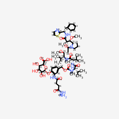 CO[C@H]([C@@H](C)C(=O)N[C@@H](Cc1ccccc1)c1nccs1)[C@@H]1CCCN1C(=O)C[C@@H](OC)[C@H](C(C)C)N(C)C(=O)[C@@H](NC(=O)[C@H](C(C)C)N(C)C(=O)OCc1ccc(O[C@@H]2OC(C(=O)O)[C@@H](O)C(O)C2O)c(NC(=O)CCC(=O)NN)c1)C(C)C